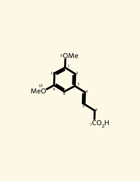 COc1cc(/C=C/CC(=O)O)cc(OC)c1